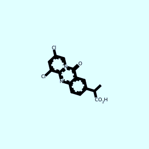 CC(C(=O)O)c1ccc2nc3c(Cl)cc(Cl)cn3c(=O)c2c1